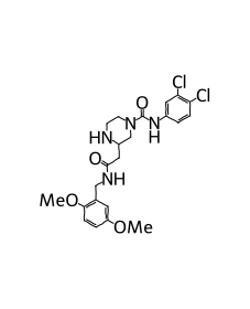 COc1ccc(OC)c(CNC(=O)CC2CN(C(=O)Nc3ccc(Cl)c(Cl)c3)CCN2)c1